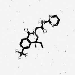 CC[C@@]1(C)CN(CC(=O)Nc2ncccn2)C(=O)c2ccc(C(F)(F)F)cc21